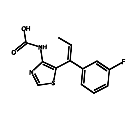 C/C=C(/c1cccc(F)c1)c1scnc1NC(=O)O